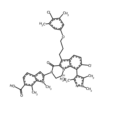 Cc1cc(OCCCc2c3n(c4c(-c5c(C)nn(C)c5C)c(Cl)ccc24)[C@H](C)CN(c2cc4ccc(C(=O)O)c(C)c4n2C)C3=O)cc(C)c1Cl